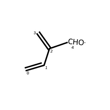 C=CC(=C)[C]=O